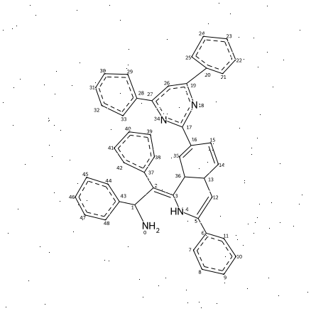 NC(/C(=C1\NC(c2ccccc2)=CC2C=CC(c3nc(-c4ccccc4)cc(-c4ccccc4)n3)=CC12)c1ccccc1)c1ccccc1